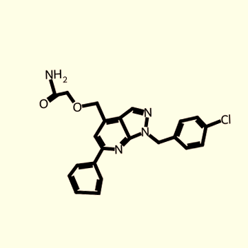 NC(=O)COCc1cc(-c2ccccc2)nc2c1cnn2Cc1ccc(Cl)cc1